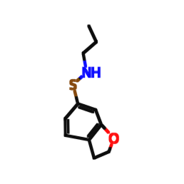 CCCNSc1ccc2c(c1)OCC2